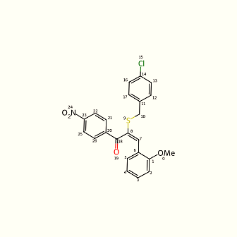 COc1ccccc1/C=C(/SCc1ccc(Cl)cc1)C(=O)c1ccc([N+](=O)[O-])cc1